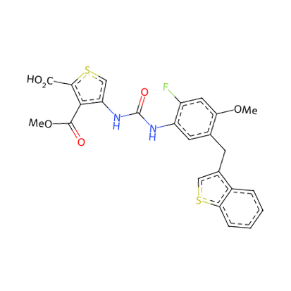 COC(=O)c1c(NC(=O)Nc2cc(Cc3csc4ccccc34)c(OC)cc2F)csc1C(=O)O